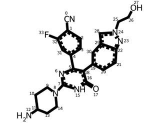 N#Cc1ccc(-c2nc(N3CCC(N)CC3)[nH]c(=O)c2-c2ccc3nn(CCO)cc3c2)cc1F